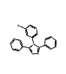 Brc1cccc(-n2c(-c3ccccc3)nnc2-c2ccccc2)c1